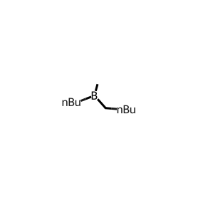 CCCCCB(C)CCCC